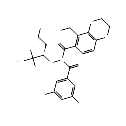 CCC[C@@H](NN(C(=O)c1cc(C)cc(C)c1)C(=O)c1ccc2c(c1CC)OCCO2)C(C)(C)C